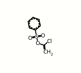 C=C(Cl)OS(=O)(=O)c1ccccc1